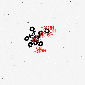 CC(C)([CH2][Sn]([CH2]C(C)(C)c1ccccc1)([CH2]C(C)(C)c1ccccc1)[O][Sn]([CH2]C(C)(C)c1ccccc1)([CH2]C(C)(C)c1ccccc1)[CH2]C(C)(C)c1ccccc1)c1ccccc1.O=P(O)(O)O.O[C@H]1[C@H](O)[C@@H](O)[C@H](O)[C@@H](O)[C@H]1O